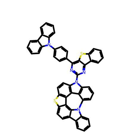 c1ccc2c(c1)sc1c(-c3ccc(-n4c5ccccc5c5ccccc54)cc3)nc(-n3c4ccc5sc6ccc7c8ccccc8n8c9cccc3c9c4c5c6c78)nc12